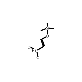 C[Si](C)(C)OC=C[SiH](Cl)Cl